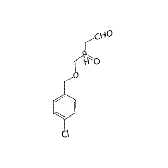 O=CC[PH](=O)COCc1ccc(Cl)cc1